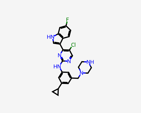 Fc1ccc2c(-c3nc(Nc4cc(CN5CCNCC5)cc(C5CC5)c4)ncc3Cl)c[nH]c2c1